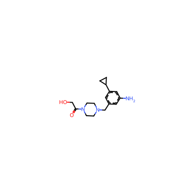 Nc1cc(CN2CCN(C(=O)CO)CC2)cc(C2CC2)c1